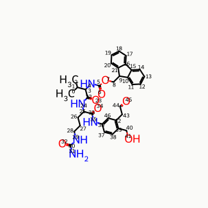 CC(C)C(NC(=O)OCC1c2ccccc2-c2ccccc21)C(=O)NC(CCCNC(N)=O)C(=O)Nc1ccc(CO)c(CC=O)c1